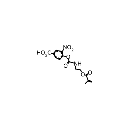 C=C(C)C(=O)OCCNC(=O)Oc1ccc(C(=O)O)cc1[N+](=O)[O-]